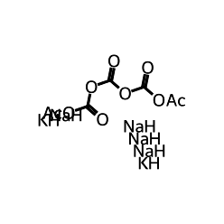 CC(=O)OC(=O)OC(=O)OC(=O)OC(C)=O.[KH].[KH].[NaH].[NaH].[NaH].[NaH]